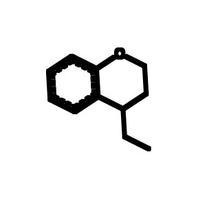 CCC1CCOc2ccccc21